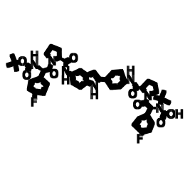 CC(C)(C)OC(=O)N[C@@H](C(=O)N1CCC[C@H]1C(=O)Nc1ccc2[nH]c(-c3ccc(NC(=O)[C@@H]4CCCN4C(=O)[C@@H](c4ccc(F)cc4)N(C(=O)O)C(C)(C)C)cc3)cc2c1)c1ccc(F)cc1